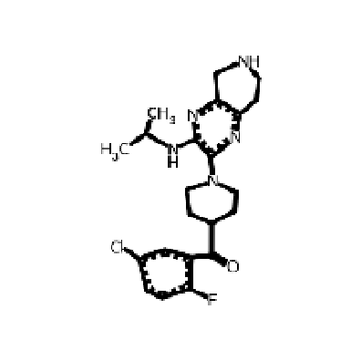 CC(C)Nc1nc2c(nc1N1CCC(C(=O)c3cc(Cl)ccc3F)CC1)CCNC2